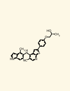 Cc1c(Nc2c(C#N)cnc3sc(-c4ccc(OC[C@H](C)O)cc4)cc23)ccc2[nH]ccc12